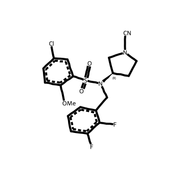 COc1ccc(Cl)cc1S(=O)(=O)N(Cc1cccc(F)c1F)[C@@H]1CCN(C#N)C1